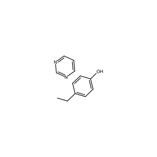 CCc1ccc(O)cc1.c1cncnc1